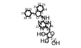 OC[C@H]1O[C@@H](n2cnc3c(NC4CC(c5ccccc5)c5ccccc54)ncnc32)[C@H](O)[C@@H]1O